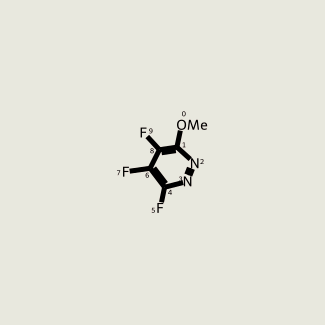 COc1nnc(F)c(F)c1F